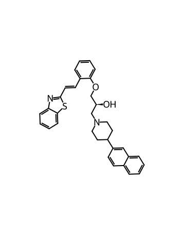 O[C@H](COc1ccccc1/C=C/c1nc2ccccc2s1)CN1CCC(c2ccc3ccccc3c2)CC1